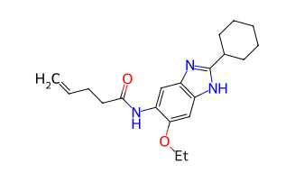 C=CCCC(=O)Nc1cc2nc(C3CCCCC3)[nH]c2cc1OCC